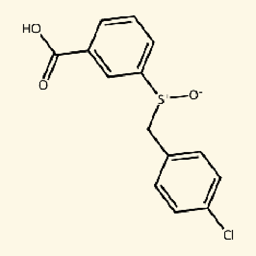 O=C(O)c1cccc([S+]([O-])Cc2ccc(Cl)cc2)c1